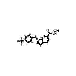 O=C(NO)c1ccc2ccn(Cc3ccc(C(F)(F)F)cc3)c2n1